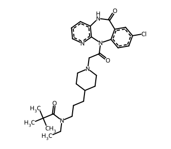 CCN(CCCC1CCN(CC(=O)N2c3ccc(Cl)cc3C(=O)Nc3cccnc32)CC1)C(=O)C(C)(C)C